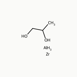 CC(O)CO.[AlH3].[Zr]